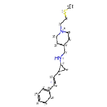 CCSCCN1CCC(CNC2CC2/C=C/C2=CC=CCC2)CC1